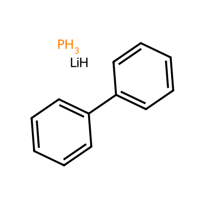 P.[LiH].c1ccc(-c2ccccc2)cc1